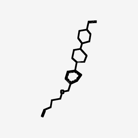 C=CCCCOCc1ccc(C2CCC(C3CCC(C=C)CC3)CC2)cc1